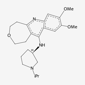 COc1cc2nc3c(c(N[C@@H]4CCCN(C(C)C)C4)c2cc1OC)CCOCC3